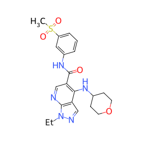 CCn1ncc2c(NC3CCOCC3)c(C(=O)Nc3cccc(S(C)(=O)=O)c3)cnc21